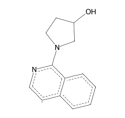 OC1CCN(c2nc[c]c3ccccc23)C1